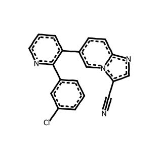 N#Cc1cnc2ccc(-c3cccnc3-c3cccc(Cl)c3)cn12